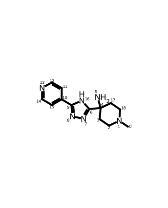 CN1CCC(N)(c2nnc(-c3ccncc3)[nH]2)CC1